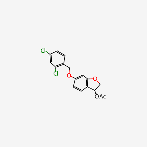 CC(=O)O[C@@H]1COc2cc(OCc3ccc(Cl)cc3Cl)ccc21